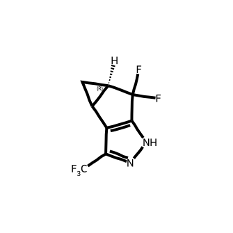 FC(F)(F)c1n[nH]c2c1C1C[C@H]1C2(F)F